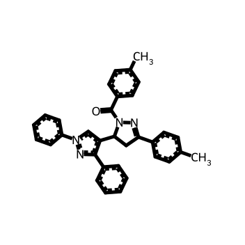 Cc1ccc(C(=O)N2N=C(c3ccc(C)cc3)CC2c2cn(-c3ccccc3)nc2-c2ccccc2)cc1